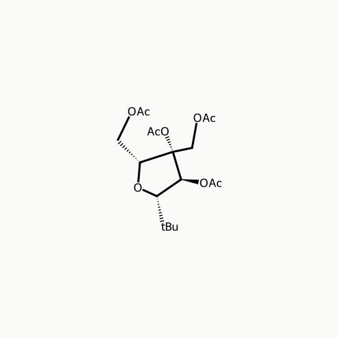 CC(=O)OC[C@H]1O[C@@H](C(C)(C)C)[C@H](OC(C)=O)[C@@]1(COC(C)=O)OC(C)=O